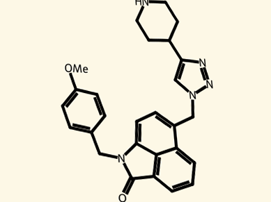 COc1ccc(CN2C(=O)c3cccc4c(Cn5cc(C6CCNCC6)nn5)ccc2c34)cc1